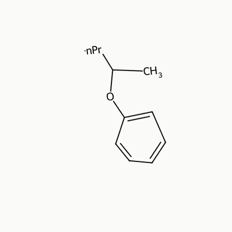 CC[CH]C(C)Oc1ccccc1